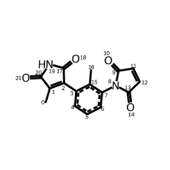 CC1=C(c2cccc(N3C(=O)C=CC3=O)c2C)C(=O)NC1=O